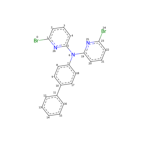 Brc1cccc(N(c2ccc(-c3ccccc3)cc2)c2cccc(Br)n2)n1